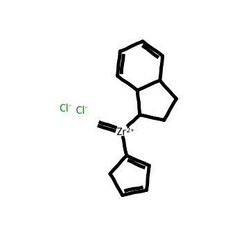 [CH2]=[Zr+2]([C]1=CC=CC1)[CH]1CCC2C=CC=CC21.[Cl-].[Cl-]